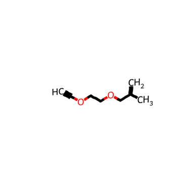 C#COCCOCC(=C)C